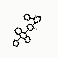 [2H]c1cc(-c2c3ccccc3c(-c3ccccc3)c3ccccc23)ccc1-c1cccnc1-c1ccccn1